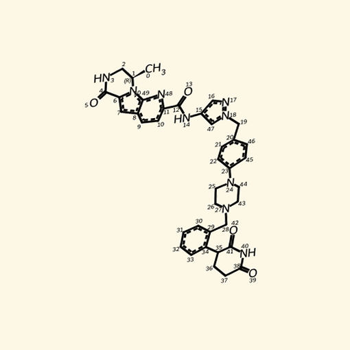 C[C@@H]1CNC(=O)c2cc3ccc(C(=O)Nc4cnn(Cc5ccc(N6CCN(Cc7ccccc7C7CCC(=O)NC7=O)CC6)cc5)c4)nc3n21